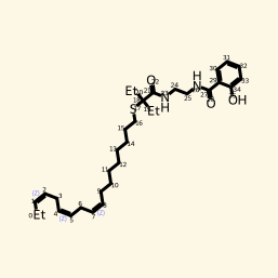 CC/C=C\C/C=C\C/C=C\CCCCCCCCSC(CC)(CC)C(=O)NCCNC(=O)c1ccccc1O